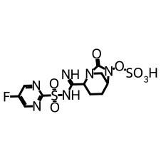 N=C(NS(=O)(=O)c1ncc(F)cn1)C1CCC2CN1C(=O)N2OS(=O)(=O)O